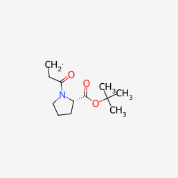 [CH2]CC(=O)N1CCC[C@H]1C(=O)OC(C)(C)C